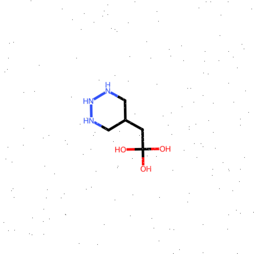 OC(O)(O)CC1CNNNC1